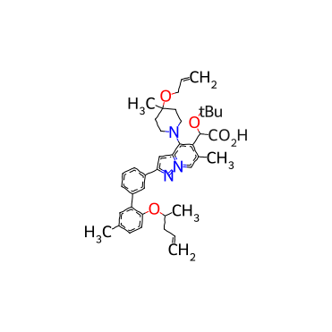 C=CCOC1(C)CCN(c2c(C(OC(C)(C)C)C(=O)O)c(C)cn3nc(-c4cccc(-c5cc(C)ccc5OC(C)CC=C)c4)cc23)CC1